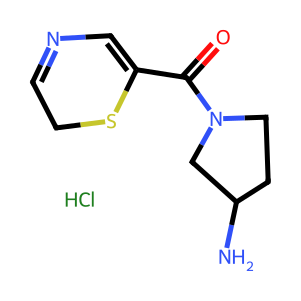 Cl.NC1CCN(C(=O)C2=CN=CCS2)C1